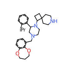 CC(C)c1ccccc1C1CN(Cc2cccc3c2OCCCO3)CCN1C1CCC12CCNCC2